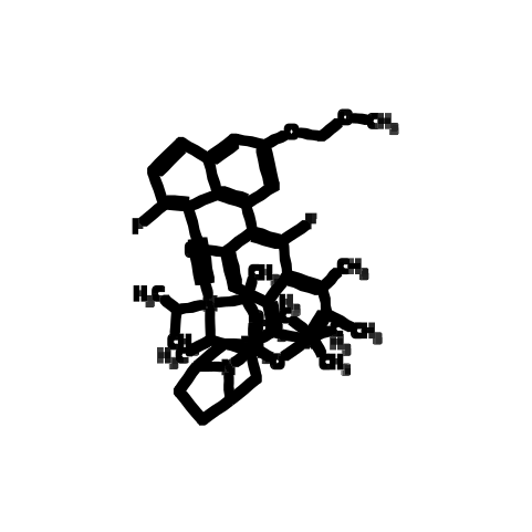 COCOc1cc(-c2c(Cl)cc3c(N4CC5CCC(C4)N5C(=O)OC(C)(C)C)nc(C)c(C)c3c2F)c2c(C#C[Si](C(C)C)(C(C)C)C(C)C)c(F)ccc2c1